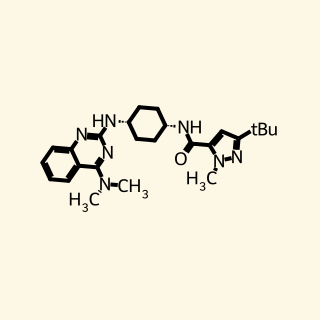 CN(C)c1nc(N[C@H]2CC[C@@H](NC(=O)c3cc(C(C)(C)C)nn3C)CC2)nc2ccccc12